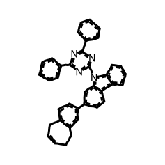 C1=CCc2ccc(-c3ccc4c5ccccc5n(-c5nc(-c6ccccc6)nc(-c6ccccc6)n5)c4c3)cc2CC1